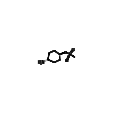 CS(=O)(=O)O[C@H]1CC[C@H](N)CC1